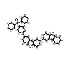 O=P(c1ccccc1)(c1ccccc1)c1ccc(-c2ccc3oc4ccc(-c5ccc6oc7ccccc7c6c5)cc4c3c2)nc1